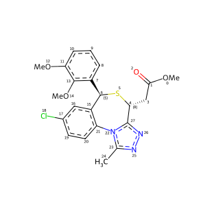 COC(=O)C[C@H]1S[C@H](c2cccc(OC)c2OC)c2cc(Cl)ccc2-n2c(C)nnc21